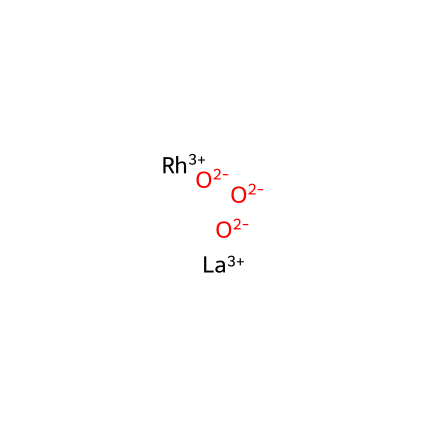 [La+3].[O-2].[O-2].[O-2].[Rh+3]